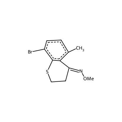 CON=C1CCSc2c(Br)ccc(C)c21